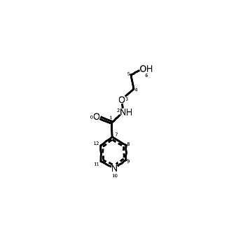 O=C(NOCCO)c1ccncc1